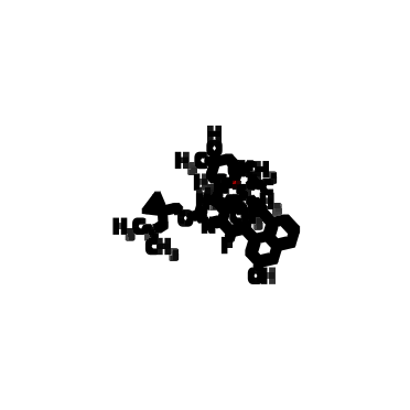 CC(C)[Si](C#Cc1cccc2cc(O)cc(-c3ncc4c(N5CCCC(C)(O)C5)nc(OCC5(CN(C)C)CC5)nc4c3F)c12)(C(C)C)C(C)C